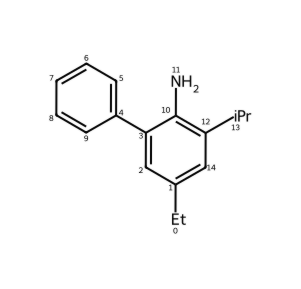 CCc1cc(-c2ccccc2)c(N)c(C(C)C)c1